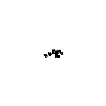 [CaH2].[Fe].[V].[Y]